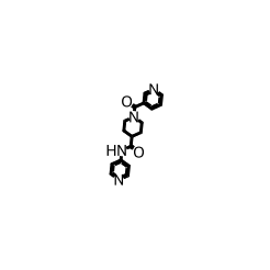 O=C(Nc1ccncc1)C1CCN(C(=O)c2cccnc2)CC1